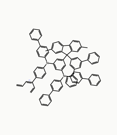 C=C/C=C(\C=C)c1ccc(N(c2ccc(-c3ccccc3)cc2)c2cc(N(c3ccc(-c4ccccc4)cc3)c3ccc(-c4ccccc4)cc3)cc(C3(c4cc(-c5ccccc5)cc(-c5ccccc5)c4)c4cc(C)ccc4-c4ccc(C)cc43)c2)cc1